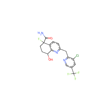 NC(=O)C1(F)CCC(O)c2nc(Cc3ncc(C(F)(F)F)cc3Cl)ccc21